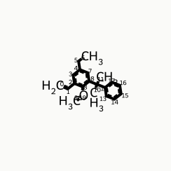 C=Cc1cc(CC)cc(C(C)(C)c2ccccc2)c1OC